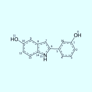 Oc1cccc(-c2cc3cc(O)ccc3[nH]2)c1